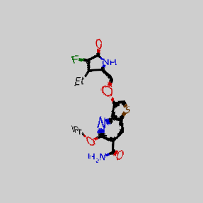 CCC1C(COc2csc3cc(C(N)=O)c(OC(C)C)nc23)NC(=O)C1F